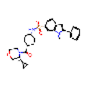 Cn1c(-c2ccccc2)cc2ccc(S(=O)(=O)N[C@H]3CC[C@H](C(=O)N4CCOC[C@@H]4C4CC4)CC3)cc21